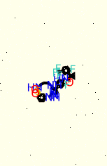 O=C(Nc1ccc(-c2cnc3nc2NCCCNS(=O)(=O)c2cccc(c2)N3)cc1F)C1(c2cc(C(F)(F)F)ccc2F)CC1